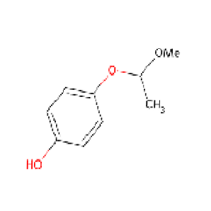 COC(C)Oc1ccc(O)cc1